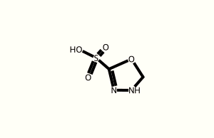 O=S(=O)(O)C1=NNCO1